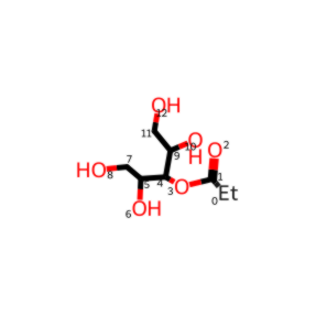 CCC(=O)OC(C(O)CO)C(O)CO